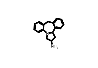 NC1CC2c3ccccc3Cc3ccccc3N2C1